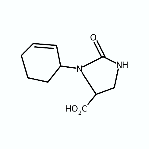 O=C(O)C1CNC(=O)N1C1C=CCCC1